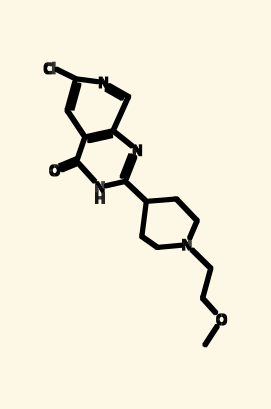 COCCN1CCC(c2nc3cnc(Cl)cc3c(=O)[nH]2)CC1